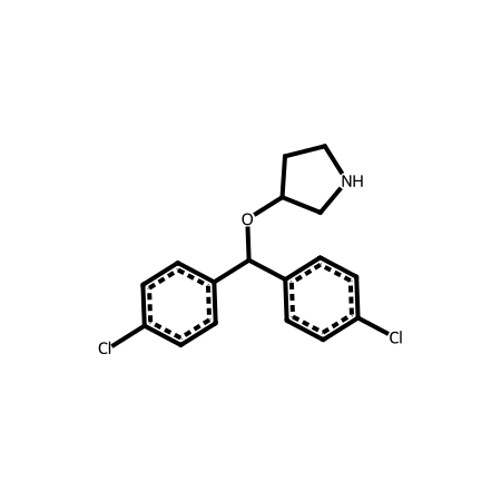 Clc1ccc(C(OC2CCNC2)c2ccc(Cl)cc2)cc1